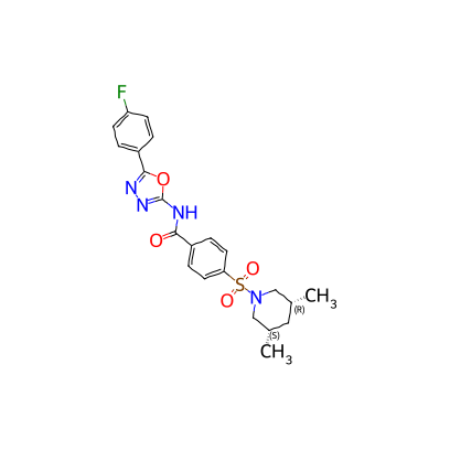 C[C@@H]1C[C@H](C)CN(S(=O)(=O)c2ccc(C(=O)Nc3nnc(-c4ccc(F)cc4)o3)cc2)C1